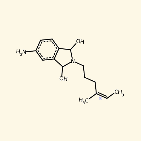 C/C=C(/C)CCCN1C(O)c2ccc(N)cc2C1O